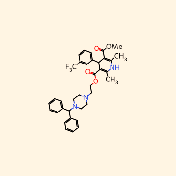 COC(=O)C1=C(C)NC(C)=C(C(=O)OCCN2CCN(C(c3ccccc3)c3ccccc3)CC2)C1c1cccc(C(F)(F)F)c1